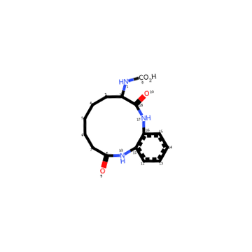 O=C(O)NC1CCCCCC(=O)Nc2ccccc2NC1=O